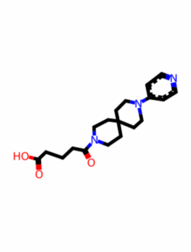 O=C(O)CCCC(=O)N1CCC2(CC1)CCN(c1ccncc1)CC2